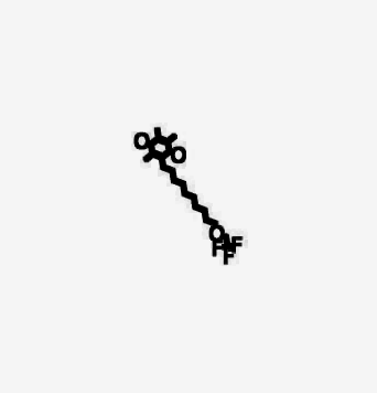 CC1=C(C)C(=O)C(CCCCCCCCCCOCC(F)(F)F)=C(C)C1=O